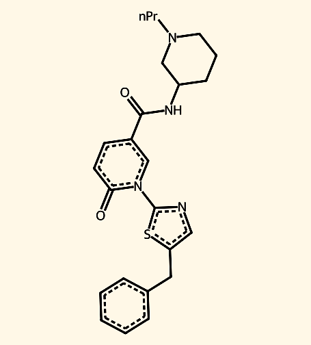 CCCN1CCCC(NC(=O)c2ccc(=O)n(-c3ncc(Cc4ccccc4)s3)c2)C1